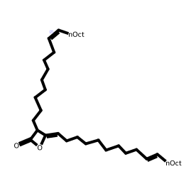 CCCCCCCCC=CCCCCCCCCC=C1OC(=O)C1CCCCCCCC/C=C\CCCCCCCC